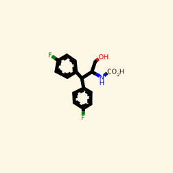 O=C(O)NC(CO)C(c1ccc(F)cc1)c1ccc(F)cc1